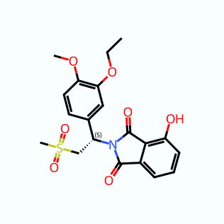 CCOc1cc([C@@H](CS(C)(=O)=O)N2C(=O)c3cccc(O)c3C2=O)ccc1OC